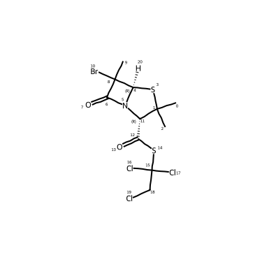 CC1(C)S[C@H]2N(C(=O)C2(C)Br)[C@H]1C(=O)SC(Cl)(Cl)CCl